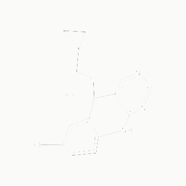 FC(F)(F)[C@@]1(OCC2CC2)c2cc(Cl)ccc2Nc2ncncc21